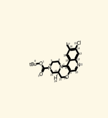 CC(C)(C)OC(=O)N1CCN2c3c(cnc4cc(Cl)c(I)cc34)OC[C@H]2C1